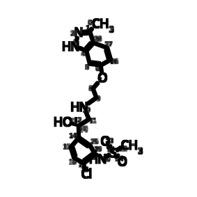 Cc1n[nH]c2cc(OCCNC[C@H](O)c3ccc(Cl)c(NS(C)(=O)=O)c3)ccc12